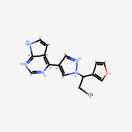 N#CCC(c1ccoc1)n1cc(-c2ncnc3[nH]ccc23)cn1